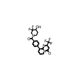 O=C(c1ccc(-c2cccn3c(=O)cc(C(F)(F)F)nc23)cc1)N1CCC(O)C(F)(F)C1